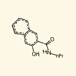 CCCNC(=O)c1cc2ccccc2cc1O